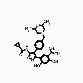 CC1CN(Cc2ccc(-c3c(-c4cc(C(C)C)c(O)cc4O)noc3NC(=O)C3CC3)cc2)CC(C)O1